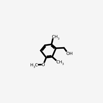 COc1ccc(C)c(CO)c1C